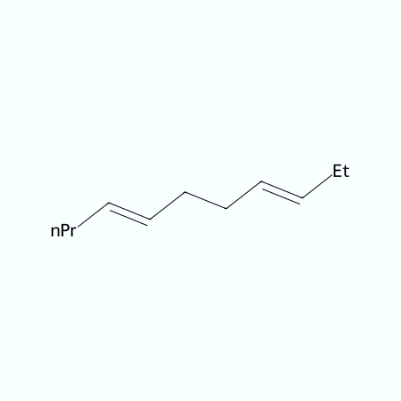 [CH2]CCC=CCCC=CCC